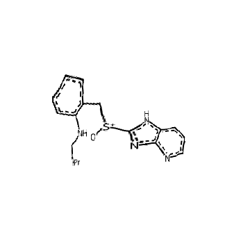 CC(C)CNc1ccccc1C[S+]([O-])c1nc2ncccc2[nH]1